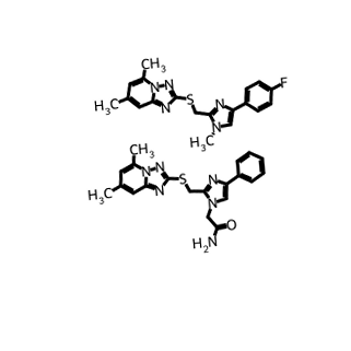 Cc1cc(C)n2nc(SCc3nc(-c4ccc(F)cc4)cn3C)nc2c1.Cc1cc(C)n2nc(SCc3nc(-c4ccccc4)cn3CC(N)=O)nc2c1